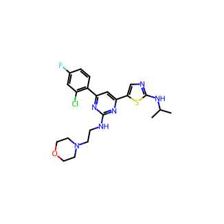 CC(C)Nc1ncc(-c2cc(-c3ccc(F)cc3Cl)nc(NCCN3CCOCC3)n2)s1